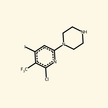 FC(F)(F)c1c(I)cc(N2CCNCC2)nc1Cl